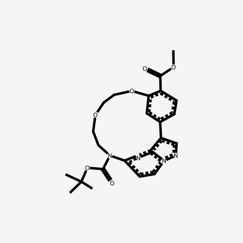 COC(=O)c1ccc2cc1OCCOCCN(C(=O)OC(C)(C)C)c1ccn3ncc-2c3n1